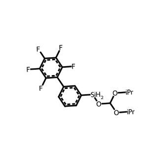 CC(C)OC(O[SiH2]c1cccc(-c2c(F)c(F)c(F)c(F)c2F)c1)OC(C)C